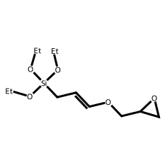 CCO[Si](CC=COCC1CO1)(OCC)OCC